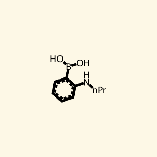 CCCNc1ccccc1B(O)O